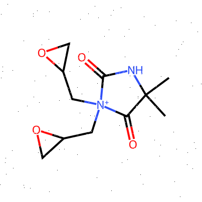 CC1(C)NC(=O)[N+](CC2CO2)(CC2CO2)C1=O